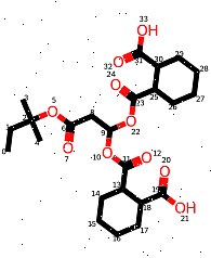 CCC(C)(C)OC(=O)CC(OC(=O)C1CCCCC1C(=O)O)OC(=O)C1CCCCC1C(=O)O